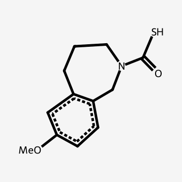 COc1ccc2c(c1)CCCN(C(=O)S)C2